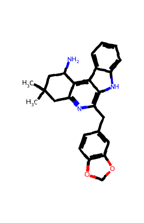 CC1(C)Cc2nc(Cc3ccc4c(c3)OCO4)c3[nH]c4ccccc4c3c2C(N)C1